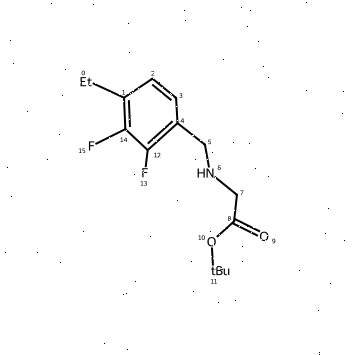 CCc1ccc(CNCC(=O)OC(C)(C)C)c(F)c1F